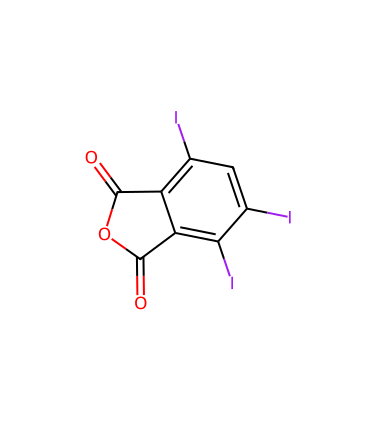 O=C1OC(=O)c2c(I)c(I)cc(I)c21